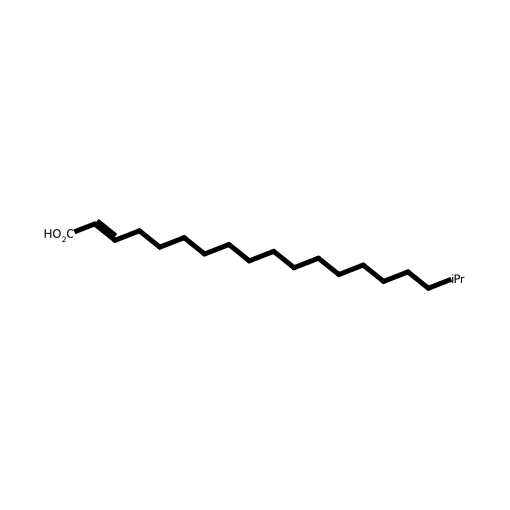 CC(C)CCCCCCCCCCCCCCC=CC(=O)O